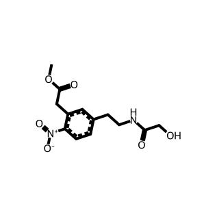 COC(=O)Cc1cc(CCNC(=O)CO)ccc1[N+](=O)[O-]